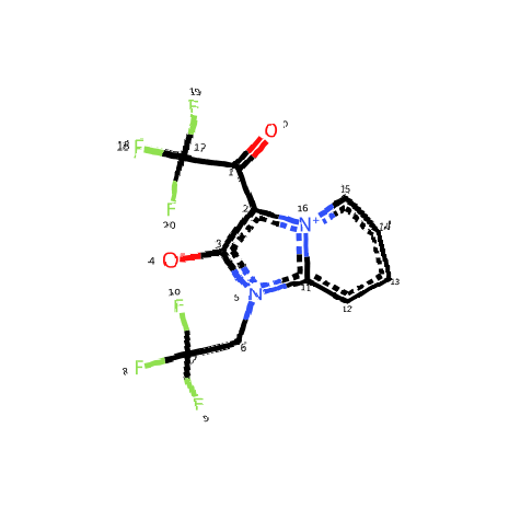 O=C(c1c([O-])n(CC(F)(F)F)c2cccc[n+]12)C(F)(F)F